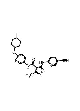 Cc1nsc(Nc2ccc(C#N)cn2)c1C(=O)Nc1ccc(OC2CCNCC2)nc1